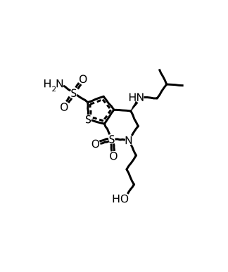 CC(C)CN[C@H]1CN(CCCO)S(=O)(=O)c2sc(S(N)(=O)=O)cc21